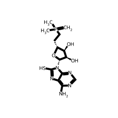 C=P(C)(C)CC[C@H]1O[C@@H](n2c(S)nc3c(N)ncnc32)[C@H](O)[C@@H]1O